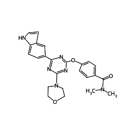 CN(C)C(=O)c1ccc(Oc2nc(-c3ccc4[nH]ccc4c3)nc(N3CCOCC3)n2)cc1